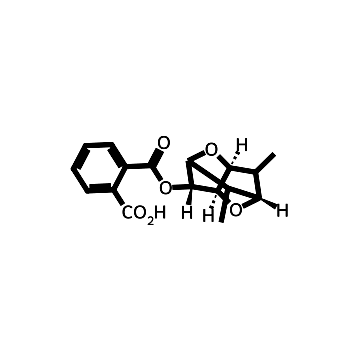 CC1C2O[C@H]3C(C)[C@@H]1O[C@H]3[C@@H]2OC(=O)c1ccccc1C(=O)O